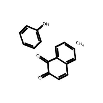 C.O=C1C=Cc2ccccc2C1=O.Oc1ccccc1